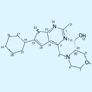 Cc1nc(CN2CCOC[C@H]2CO)c2cc(C3CCCCC3)sc2n1